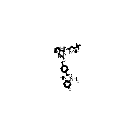 CC(C)(C)c1cc(Nc2nc(SCc3ccc(C(=O)Nc4ccc(F)cc4N)cc3)nn3cccc23)n[nH]1